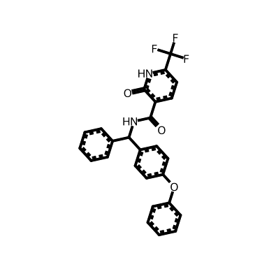 O=C(NC(c1ccccc1)c1ccc(Oc2ccccc2)cc1)c1ccc(C(F)(F)F)[nH]c1=O